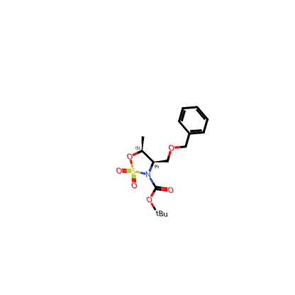 C[C@@H]1OS(=O)(=O)N(C(=O)OC(C)(C)C)[C@@H]1COCc1ccccc1